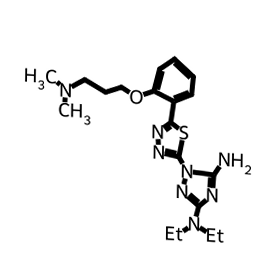 CCN(CC)c1nc(N)n(-c2nnc(-c3ccccc3OCCCN(C)C)s2)n1